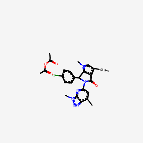 CC(=O)Nc1cn(C)c2c1C(=O)N(c1cc(C)c3nnn(C)c3n1)C2c1ccc(Cl)cc1.CC(=O)OC(C)=O